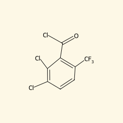 O=C(Cl)c1c(C(F)(F)F)ccc(Cl)c1Cl